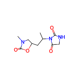 CC(CC1CN(C)C(=O)O1)N1C(=O)CNC1=O